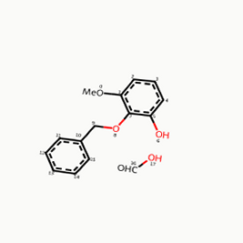 COc1cccc(O)c1OCc1ccccc1.O=CO